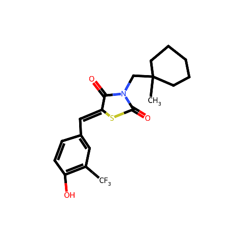 CC1(CN2C(=O)SC(=Cc3ccc(O)c(C(F)(F)F)c3)C2=O)CCCCC1